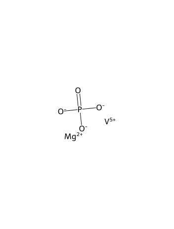 O=P([O-])([O-])[O-].[Mg+2].[V+5]